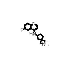 Fc1ccc2nccc(NC3CCC4(CNC4)C3)c2c1